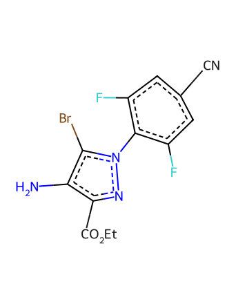 CCOC(=O)c1nn(-c2c(F)cc(C#N)cc2F)c(Br)c1N